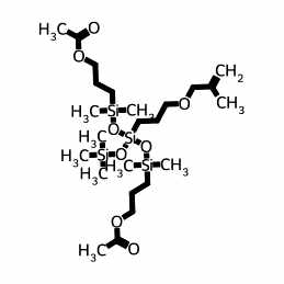 C=C(C)COCCC[Si](O[Si](C)(C)C)(O[Si](C)(C)CCCOC(C)=O)O[Si](C)(C)CCCOC(C)=O